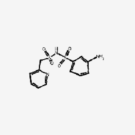 Nc1cccc(S(=O)(=O)NS(=O)(=O)Cc2ccccn2)c1